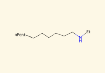 [CH2]CNCCCCCCCCCCC